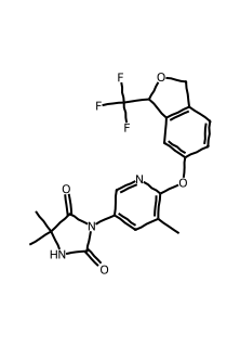 Cc1cc(N2C(=O)NC(C)(C)C2=O)cnc1Oc1ccc2c(c1)C(C(F)(F)F)OC2